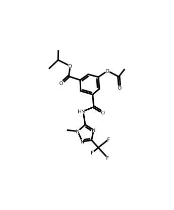 CC(=O)Oc1cc(C(=O)Nc2nc(C(F)(F)F)nn2C)cc(C(=O)OC(C)C)c1